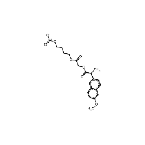 COc1ccc2cc(C(C)C(=O)OCC(=O)OCCCCO[N+](=O)[O-])ccc2c1